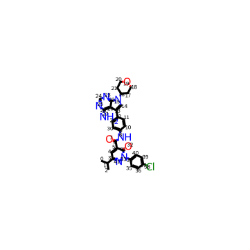 CC(C)c1cc(C(=O)Nc2ccc(-c3cn(C4CCOCC4)c4ncnc(N)c34)cc2)c(=O)n(-c2ccc(Cl)cc2)n1